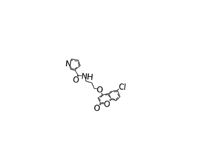 O=C(NCCCOc1cc(=O)oc2ccc(Cl)cc12)c1cccnc1